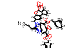 CCCc1nc2cc(C(=O)OCc3ccccc3)c(=O)c(C(=O)OCc3ccccc3)cc2n1Cc1ccc(-c2ccccc2C(=O)O)cc1